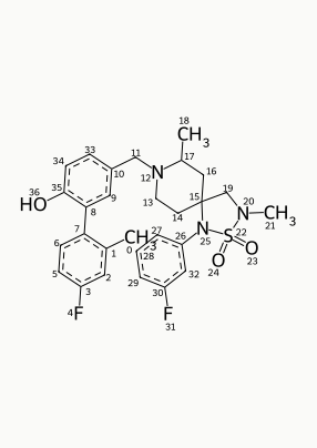 Cc1cc(F)ccc1-c1cc(CN2CCC3(CC2C)CN(C)S(=O)(=O)N3c2cccc(F)c2)ccc1O